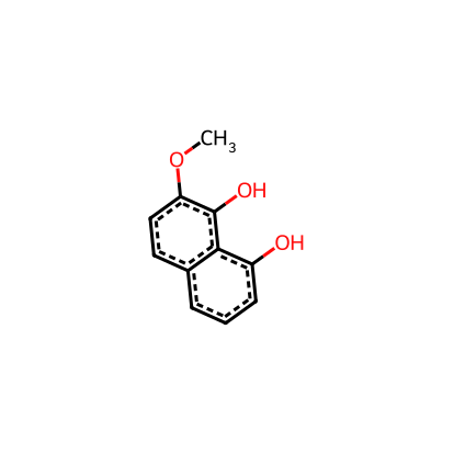 COc1ccc2cccc(O)c2c1O